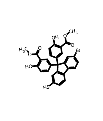 COC(=O)c1cc(C2(c3ccc(O)c(C(=O)OC)c3)c3cc(S)ccc3-c3ccc(Br)cc32)ccc1O